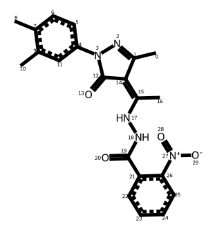 CC1=NN(c2ccc(C)c(C)c2)C(=O)/C1=C(/C)NNC(=O)c1ccccc1[N+](=O)[O-]